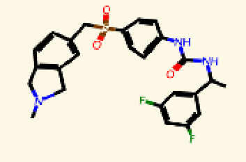 CC(NC(=O)Nc1ccc(S(=O)(=O)Cc2ccc3c(c2)CN(C)C3)cc1)c1cc(F)cc(F)c1